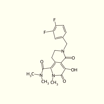 CN(C)C(=O)c1c2c(c(O)c(=O)n1C)C(=O)N(Cc1ccc(F)c(F)c1)CC2